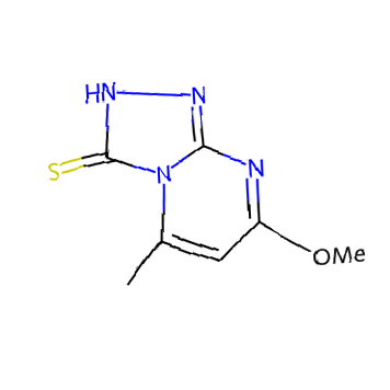 COc1cc(C)n2c(=S)[nH]nc2n1